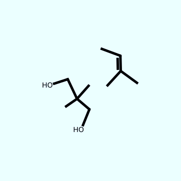 CC(C)(CO)CO.CC=C(C)C